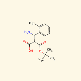 Cc1ccccc1C(N)C(C(=O)O)C(=O)OC(C)(C)C